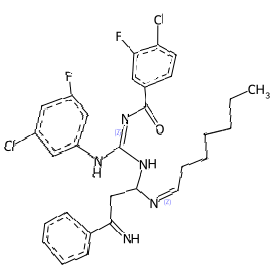 CCCCCC/C=N\C(CC(=N)c1ccccc1)N/C(=N\C(=O)c1ccc(Cl)c(F)c1)Nc1cc(F)cc(Cl)c1